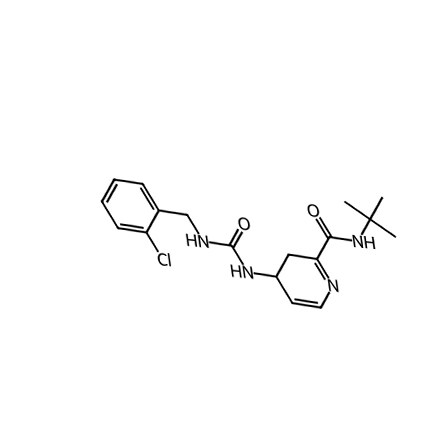 CC(C)(C)NC(=O)C1=NC=CC(NC(=O)NCc2ccccc2Cl)C1